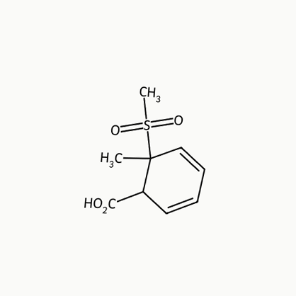 CC1(S(C)(=O)=O)C=CC=CC1C(=O)O